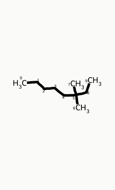 CCCCCC(C)(C)CC